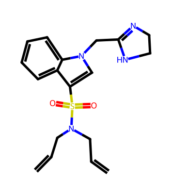 C=CCN(CC=C)S(=O)(=O)c1cn(CC2=NCCN2)c2ccccc12